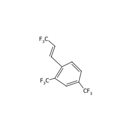 FC(F)(F)C=Cc1ccc(C(F)(F)F)cc1C(F)(F)F